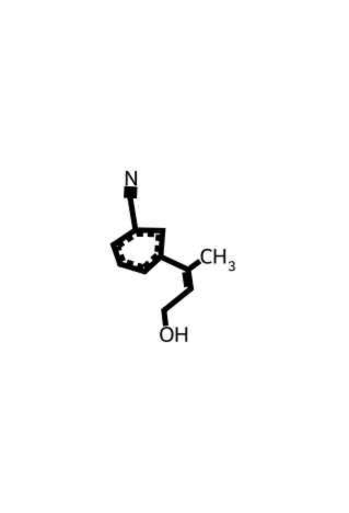 C/C(=C/CO)c1cccc(C#N)c1